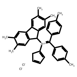 Cc1ccc([C](c2ccc(C)cc2)=[Zr+2]([C]2=CC=CC2)[CH]2c3cc(C)c(C)cc3-c3cc(C)c(C)cc32)cc1.[Cl-].[Cl-]